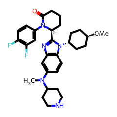 CO[C@H]1CC[C@H](n2c([C@@H]3CCCC(=O)N3c3ccc(F)c(F)c3)nc3cc(N(C)C4CCNCC4)ccc32)CC1